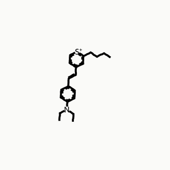 CCCCc1cc(C=Cc2ccc(N(CC)CC)cc2)cc[s+]1